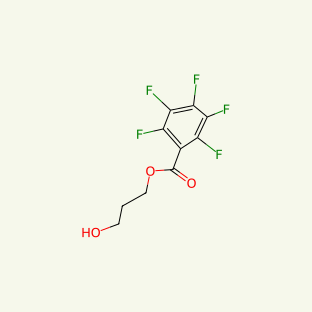 O=C(OCCCO)c1c(F)c(F)c(F)c(F)c1F